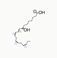 CC/C=C\C/C=C\C/C=C\C=C\[C@H](O)CCCCCCC(=O)O